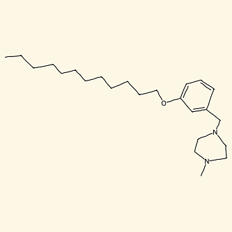 CCCCCCCCCCCCOc1cccc(CN2CCN(C)CC2)c1